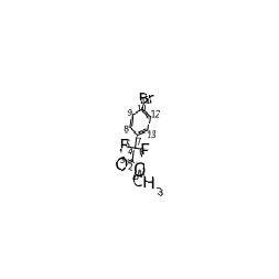 COC(=O)C(F)(F)c1ccc(Br)cc1